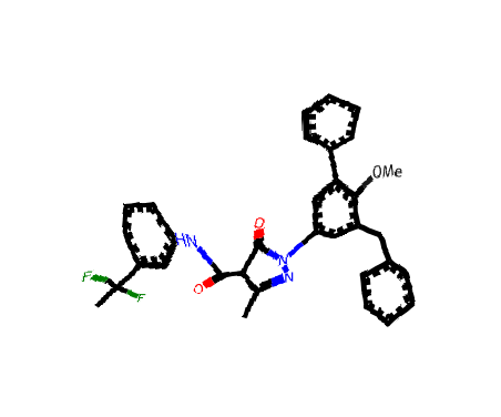 COc1c(Cc2ccccc2)cc(N2N=C(C)C(C(=O)Nc3cccc(C(C)(F)F)c3)C2=O)cc1-c1ccccc1